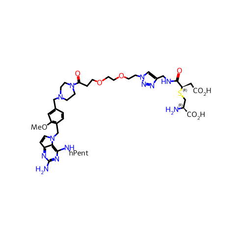 CCCCCNc1nc(N)nc2ccn(Cc3ccc(CN4CCN(C(=O)CCOCCOCCn5cc(CNC(=O)[C@@H](CC(=O)O)SC[C@H](N)C(=O)O)nn5)CC4)cc3OC)c12